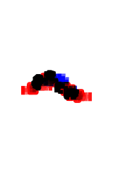 Cc1ccc(NC(=O)Nc2ccc(C)c(S(=O)(=O)Nc3cccc4cc(S(=O)(=O)O)cc(O)c34)c2)cc1S(=O)(=O)Nc1cccc2cc(S(=O)(=O)O)cc(O)c12